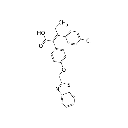 CCC(=C(C(=O)O)c1ccc(OCc2nc3ccccc3s2)cc1)c1ccc(Cl)cc1